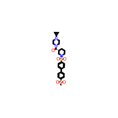 CS(=O)(=O)c1ccc(-c2ccc(S(=O)(=O)N3CCC[C@@H](C(=O)N4CCN(C5CC5)CC4)C3)cc2)cc1